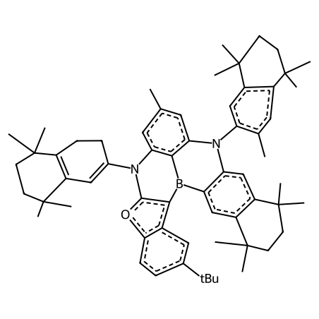 Cc1cc2c3c(c1)N(c1cc4c(cc1C)C(C)(C)CCC4(C)C)c1cc4c(cc1B3c1c(oc3ccc(C(C)(C)C)cc13)N2C1=CC2=C(CC1)C(C)(C)CCC2(C)C)C(C)(C)CCC4(C)C